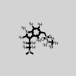 [2H]c1c(CS(=O)(=O)N([2H])C([2H])([2H])[2H])c([2H])c2c(C([2H])([2H])C([2H])([2H])N(C)C)c([2H])n([2H])c2c1[2H]